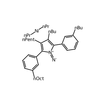 CCCCCCCCc1cccc(C2=C(CCCCC)C(CCCC)=C(c3cccc(CCCC)c3)[N+]2=[N-])c1.CC[CH2][Ni][CH2]CC